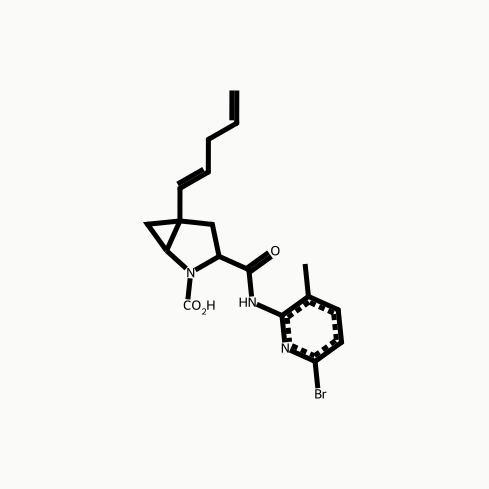 C=CCC=CC12CC(C(=O)Nc3nc(Br)ccc3C)N(C(=O)O)C1C2